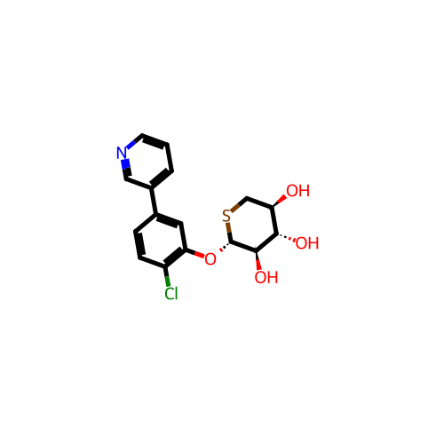 O[C@@H]1[C@@H](O)[C@H](Oc2cc(-c3cccnc3)ccc2Cl)SC[C@H]1O